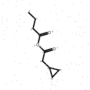 CCCC(=O)OC(=O)CC1CC1